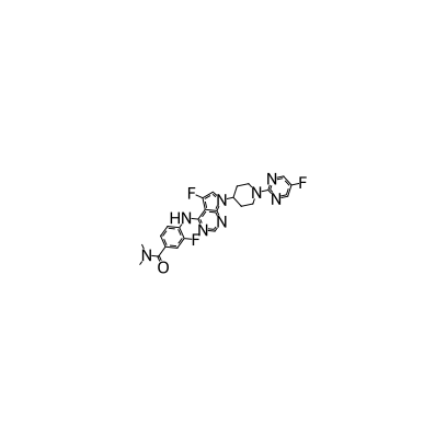 CN(C)C(=O)c1ccc(Nc2ncnc3c2c(F)cn3C2CCN(c3ncc(F)cn3)CC2)c(F)c1